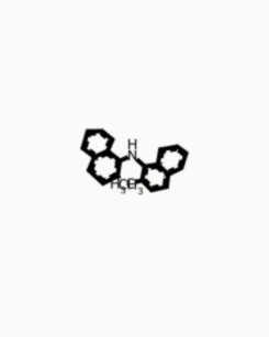 Cc1ccc2ccccc2c1Nc1c(C)ccc2ccccc12